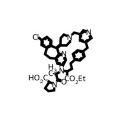 CCOC(=O)C(CCc1ccc(Cc2cncc(CN3CCC(=C4c5ccc(Cl)cc5CCc5cccnc54)CC3)c2)cc1)N[C@@H](C)C(=O)N1CCCC1C(=O)O